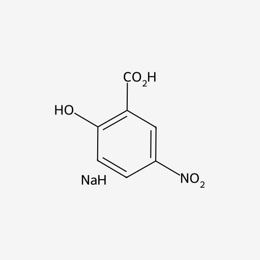 O=C(O)c1cc([N+](=O)[O-])ccc1O.[NaH]